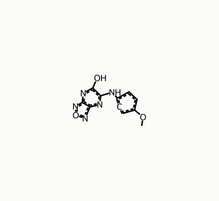 COc1ccc(Nc2nc3nonc3nc2O)cc1